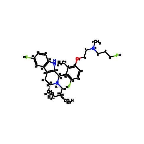 Cc1c(OCCN(C)CCCF)ccc(F)c1[C@@H]1c2[nH]c3ccc(F)cc3c2C[C@@H](C)N1C[C@H](C)C(=O)O